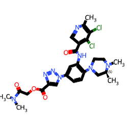 Cc1ncc(C(=O)Nc2cc(-n3cc(C(=O)OCC(=O)N(C)C)nn3)ccc2N2CCN(C)[C@@H](C)C2)c(Cl)c1Cl